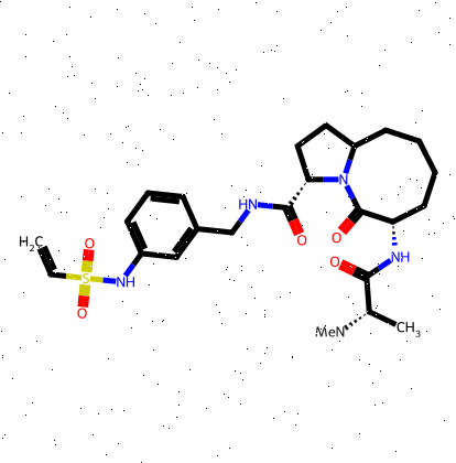 C=CS(=O)(=O)Nc1cccc(CNC(=O)[C@@H]2CCC3CCCC[C@H](NC(=O)[C@H](C)NC)C(=O)N32)c1